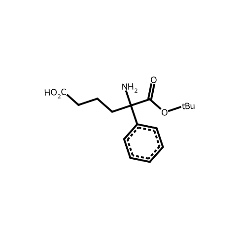 CC(C)(C)OC(=O)C(N)(CCCC(=O)O)c1ccccc1